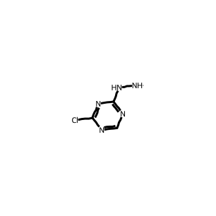 [NH]Nc1ncnc(Cl)n1